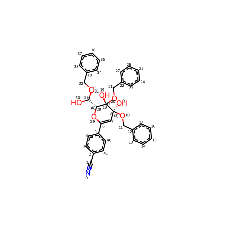 N#Cc1ccc(C2=C[C@](O)(OCc3ccccc3)[C@@](O)(OCc3ccccc3)[C@@H](C(O)OCc3ccccc3)O2)cc1